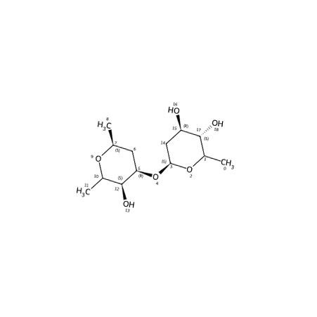 CC1O[C@@H](O[C@@H]2C[C@H](C)OC(C)[C@@H]2O)C[C@@H](O)[C@@H]1O